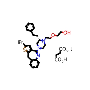 CC(C)c1cc2c(s1)Cc1ccccc1N=C2N1CCN(CCOCCO)[C@@H](CCc2ccccc2)C1.O=C(O)CCC(=O)O